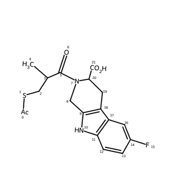 CC(=O)SCC(C)C(=O)N1Cc2[nH]c3ccc(F)cc3c2CC1C(=O)O